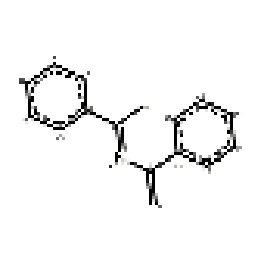 C=C(/N=C(\C)c1ccccc1)c1ccccc1